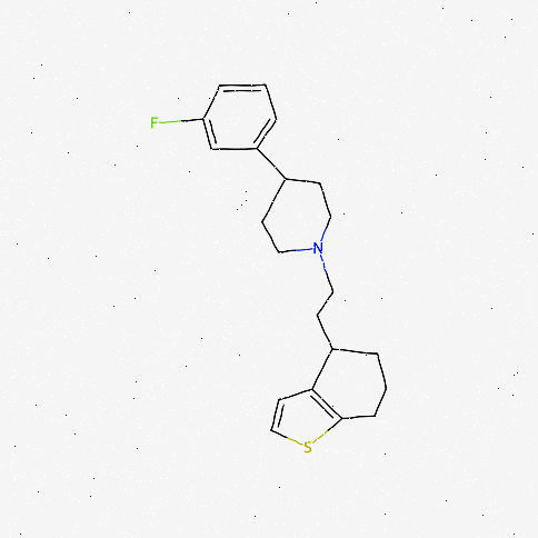 Fc1cccc(C2CCN(CCC3CCCc4sccc43)CC2)c1